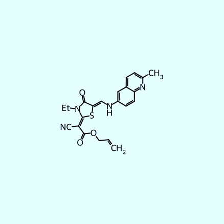 C=CCOC(=O)C(C#N)=c1sc(=CNc2ccc3nc(C)ccc3c2)c(=O)n1CC